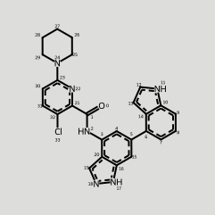 O=C(Nc1cc(-c2cccc3[nH]ccc23)cc2[nH]ncc12)c1nc(N2CCCCC2)ccc1Cl